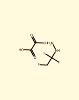 NNC(F)(F)CF.O=C(O)C(=O)O